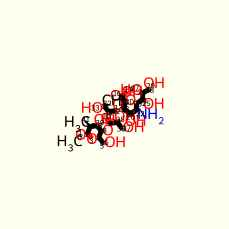 CO[C@@H]1OC(CO)[C@@H](O[C@H](OC(CO[C@]2(C(=O)O)C[C@@H](O)[C@@H](N)C([C@H](O)[C@H](O)CO)O2)[C@@H](C)O)[C@@H](O)CO)C(O)[C@@H]1C